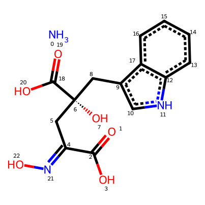 N.O=C(O)/C(C[C@](O)(Cc1c[nH]c2ccccc12)C(=O)O)=N/O